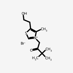 Cc1c(CCO)sc[n+]1CC(=O)C(C)(C)C.[Br-]